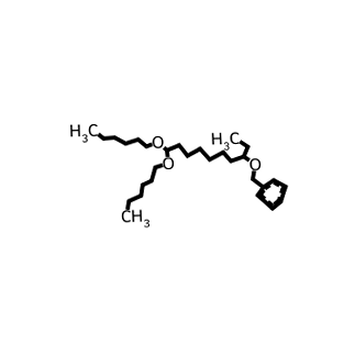 CCCCCCOC(CCCCCCC(CC)OCc1ccccc1)OCCCCCC